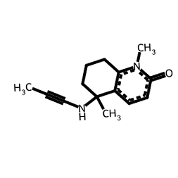 CC#CNC1(C)CCCc2c1ccc(=O)n2C